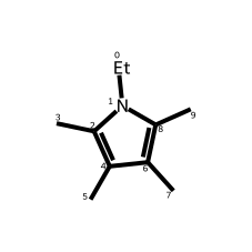 CCn1c(C)c(C)c(C)c1C